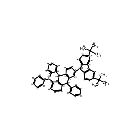 CC(C)(C)c1ccc2c(c1)c1cc(C(C)(C)C)ccc1n2-c1ccc2c(c1)C(c1ccccc1)c1cccc3c1B2c1ccccc1N3c1ccccc1